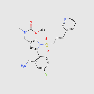 CN(Cc1cc(-c2ccc(F)cc2CN)n(S(=O)(=O)CC=Cc2cccnc2)c1)C(=O)OC(C)(C)C